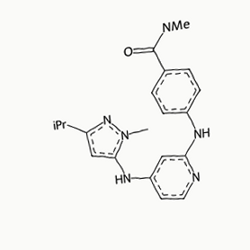 CNC(=O)c1ccc(Nc2cc(Nc3cc(C(C)C)nn3C)ccn2)cc1